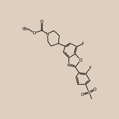 CC(C)(C)OC(=O)N1CCC(c2cc(F)c3oc(-c4ccc(S(C)(=O)=O)cc4F)nc3c2)CC1